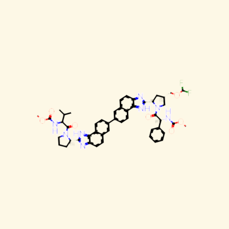 COC(=O)NC(C(=O)N1CCC[C@H]1c1nc2ccc3cc(-c4ccc5c(ccc6nc([C@@H]7C[C@H](COC(F)F)CN7C(=O)[C@H](NC(=O)OC)c7ccccc7)[nH]c65)c4)ccc3c2[nH]1)C(C)C